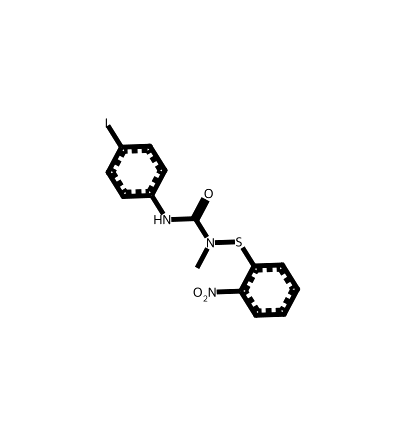 CN(Sc1ccccc1[N+](=O)[O-])C(=O)Nc1ccc(I)cc1